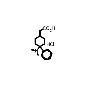 CN(C)C1(c2ccccc2)CCC(=CC(=O)O)CC1.Cl